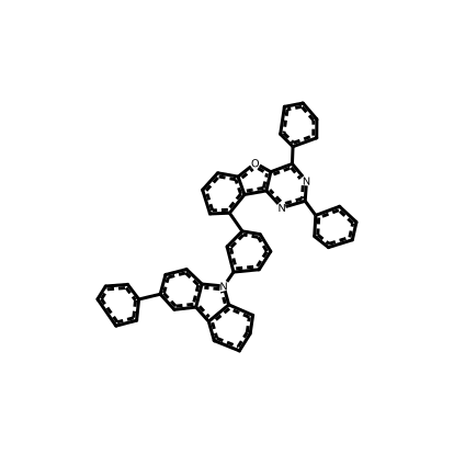 c1ccc(-c2ccc3c(c2)c2ccccc2n3-c2cccc(-c3cccc4oc5c(-c6ccccc6)nc(-c6ccccc6)nc5c34)c2)cc1